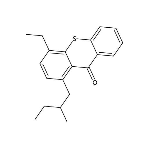 CCc1ccc(CC(C)CC)c2c(=O)c3ccccc3sc12